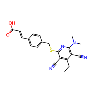 CCc1c(C#N)c(SCc2ccc(C=CC(=O)O)cc2)nc(N(C)C)c1C#N